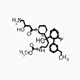 CCc1cccc(-c2c(F)cccc2[C@](O)(CCCNC(=O)OC)[C@@H]2CCCN(C(=O)CC(O)CN)C2)c1